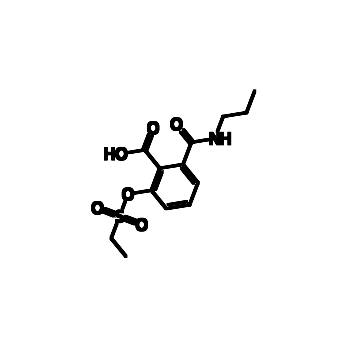 CCCNC(=O)c1cccc(OS(=O)(=O)CC)c1C(=O)O